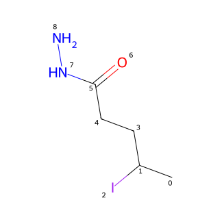 CC(I)CCC(=O)NN